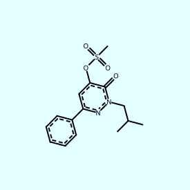 CC(C)Cn1nc(-c2ccccc2)cc(OS(C)(=O)=O)c1=O